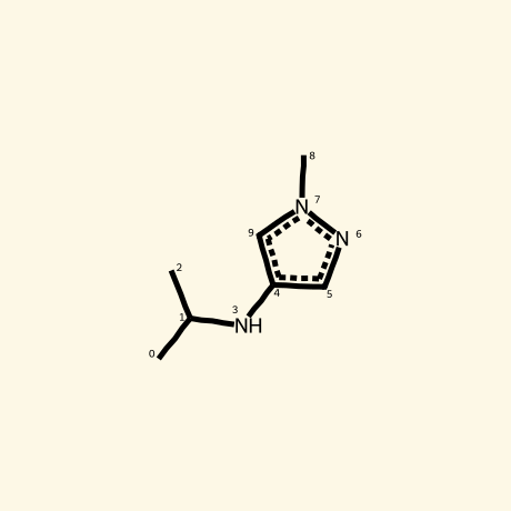 CC(C)Nc1cnn(C)c1